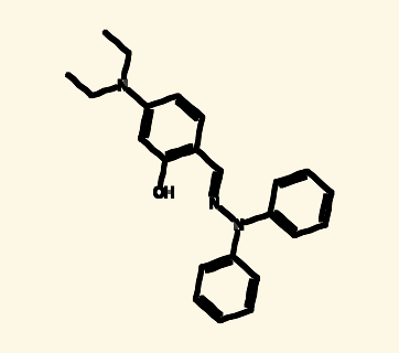 CCN(CC)c1ccc(C=NN(c2ccccc2)c2ccccc2)c(O)c1